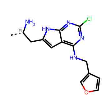 C[C@H](N)Cc1cc2c(NCc3ccoc3)nc(Cl)nc2[nH]1